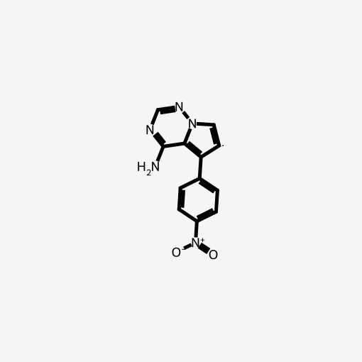 Nc1ncnn2c[c]c(-c3ccc([N+](=O)[O-])cc3)c12